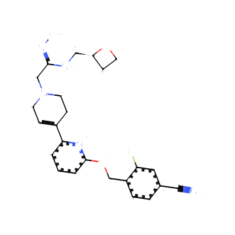 C/N=C(/CN1CC=C(c2cccc(OCc3ccc(C#N)cc3F)n2)CC1)NC[C@@H]1CCO1